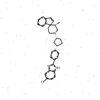 C[C@H]1CN([C@@H]2CC[C@H](c3ccc(-c4nc5cc(Cl)ccc5[nH]4)cc3)C2)CCC12C=Cc1ccccc12